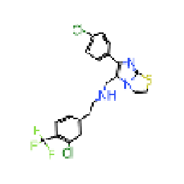 FC(F)(F)c1ccc(CCNCc2c(-c3ccc(Cl)cc3)nc3sccn23)cc1Cl